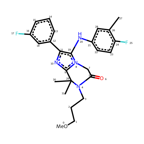 COCCCN1C(=O)Cn2c(nc(-c3cccc(F)c3)c2Nc2ccc(F)c(C)c2)C1(C)C